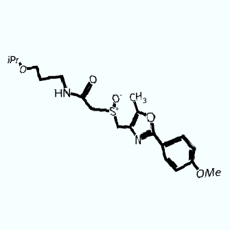 COc1ccc(-c2nc(C[S+]([O-])CC(=O)NCCCOC(C)C)c(C)o2)cc1